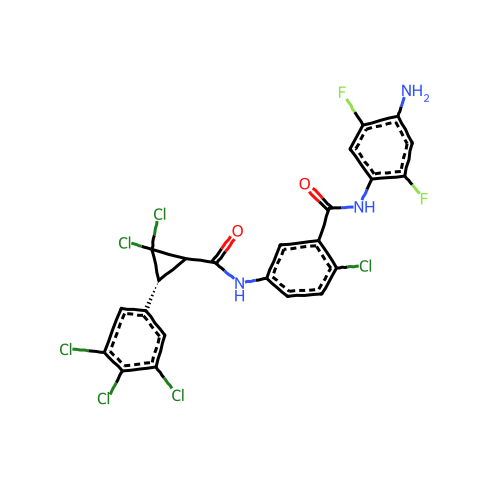 Nc1cc(F)c(NC(=O)c2cc(NC(=O)C3[C@H](c4cc(Cl)c(Cl)c(Cl)c4)C3(Cl)Cl)ccc2Cl)cc1F